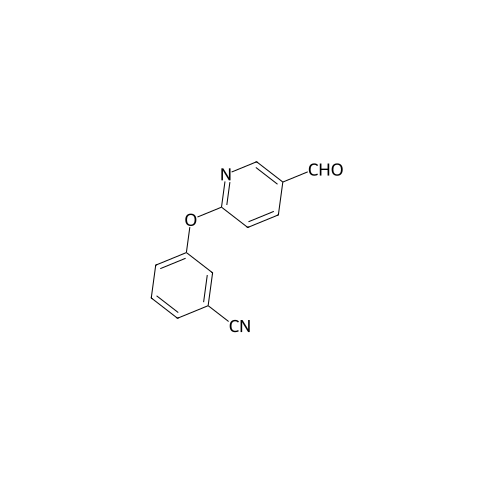 N#Cc1cccc(Oc2ccc(C=O)cn2)c1